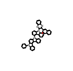 c1ccc(-n2c3ccccc3c3c4c5ccccc5n(-c5cccc6c5c5ccccc5n6-c5nc6ccccc6nc5-c5ccc6ccccc6c5)c4ccc32)cc1